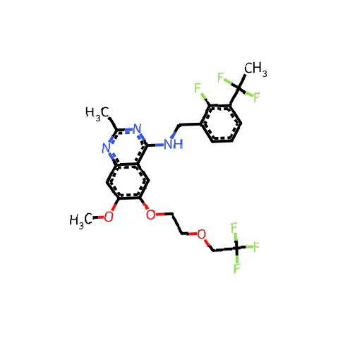 COc1cc2nc(C)nc(NCc3cccc(C(C)(F)F)c3F)c2cc1OCCOCC(F)(F)F